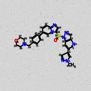 Cn1cc(-c2cnc3cnn([S+]([O-])c4cnc5ccc(-c6ccc(CN7CCOCC7)cc6)cn45)c3c2)cn1